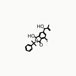 C=C(C)C(O)c1cc(I)c2c(c1)C(O)N(C(C)(C)c1ccccc1)C2=O